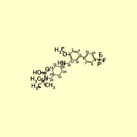 COc1ccc(-c2ccc(C(F)(F)F)cc2)cc1CNC1CCC(CN(C(=O)O)C(C)(C)C)CC1